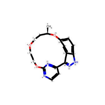 C[C@@H]1CCOCCOc2nccc(n2)-c2n[nH]c3ccc(cc23)O1